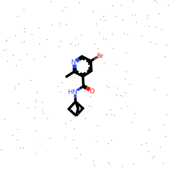 Cc1ncc(Br)cc1C(=O)NC12CC(C1)C2